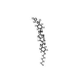 CCCCCCCc1ccc(N=NC2=CC3SC(N=Nc4ccc(N(C)COC)cc4)=NC3S2)cc1